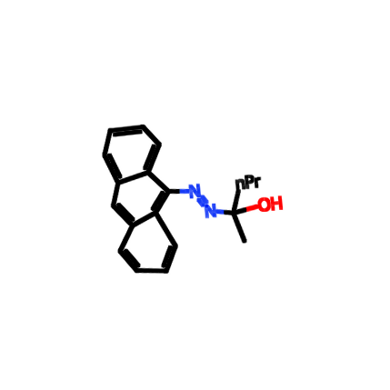 CCCC(C)(O)N=Nc1c2ccccc2cc2ccccc12